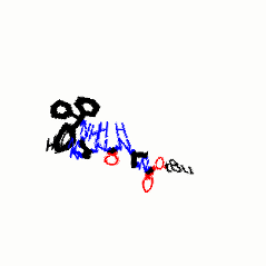 Cn1ncc(NC(=O)NC2CN(C(=O)OC(C)(C)C)C2)c1NC(c1ccccc1)(c1ccccc1)c1ccccc1